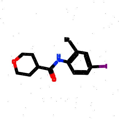 CCc1cc(I)ccc1NC(=O)C1CCOCC1